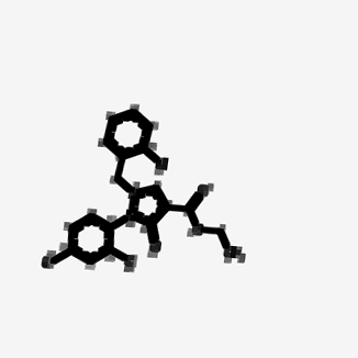 CCOC(=O)c1cn(Cc2ccccc2Cl)n(-c2ccc(Cl)cc2Cl)c1=O